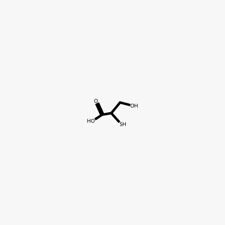 O=C(O)C(S)CO